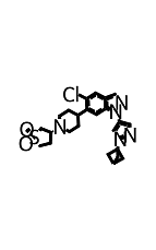 O=S1(=O)CC[C@@H](N2CCC(c3cc4c(cnn4-c4cnn(C56CC(C5)C6)c4)cc3Cl)CC2)C1